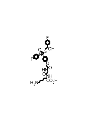 NCCCC[C@@H](NC(=O)CNC(=O)COc1ccc([C@@H]2[C@@H](SCC(O)c3ccc(F)cc3)C(=O)N2c2ccc(F)cc2)cc1)C(=O)O